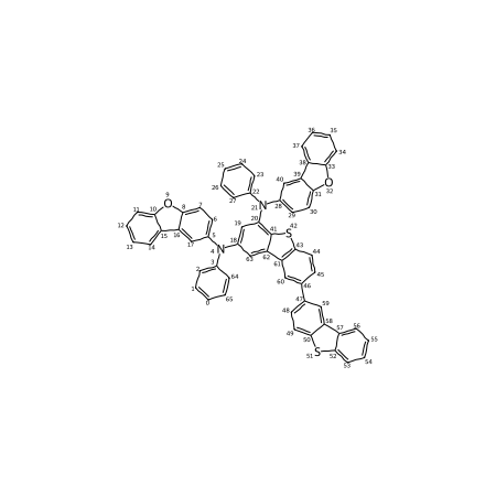 c1ccc(N(c2ccc3oc4ccccc4c3c2)c2cc(N(c3ccccc3)c3ccc4oc5ccccc5c4c3)c3sc4ccc(-c5ccc6sc7ccccc7c6c5)cc4c3c2)cc1